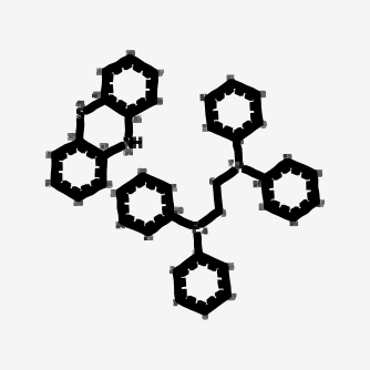 c1ccc(P(CCP(c2ccccc2)c2ccccc2)c2ccccc2)cc1.c1ccc2c(c1)Nc1ccccc1S2